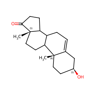 C[C@]12CC[C@H](O)CC1=CCC1C2CC[C@]2(C)C(=O)CCC12